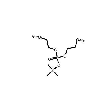 COCCOP(=O)(OCCOC)O[Si](C)(C)C